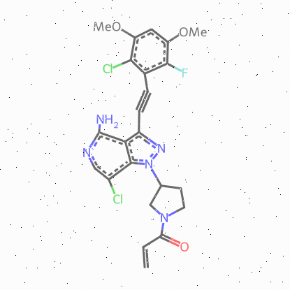 C=CC(=O)N1CCC(n2nc(C#Cc3c(F)c(OC)cc(OC)c3Cl)c3c(N)ncc(Cl)c32)C1